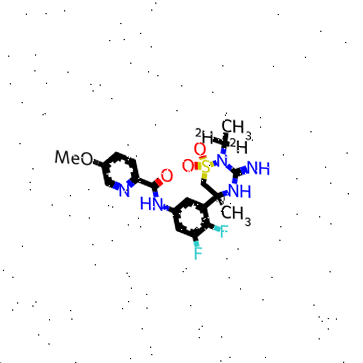 [2H]C([2H])(C)N1C(=N)N[C@](C)(c2cc(NC(=O)c3ccc(OC)cn3)cc(F)c2F)CS1(=O)=O